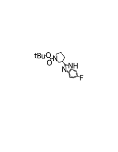 CC(C)(C)OC(=O)N1CCC[C@@H](c2nc3ccc(F)cc3[nH]2)C1